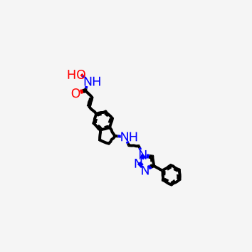 O=C(C=Cc1ccc2c(c1)CCC2NCCn1cc(-c2ccccc2)nn1)NO